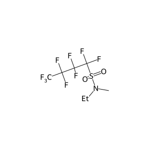 [CH2]CN(C)S(=O)(=O)C(F)(F)C(F)(F)C(F)(F)C(F)(F)F